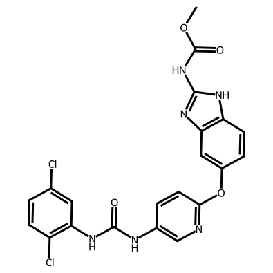 COC(=O)Nc1nc2cc(Oc3ccc(NC(=O)Nc4cc(Cl)ccc4Cl)cn3)ccc2[nH]1